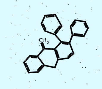 C=C1c2ccccc2Cc2ccc(-c3ccccc3)c(-c3ccccc3)c21